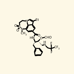 CCc1cn2c3c(cc(C(=O)N[C@@H](Cc4ccccc4)[C@@H](CNCC(F)(F)C(F)(F)F)OC=O)cc13)N(C)S(=O)(=O)CC2